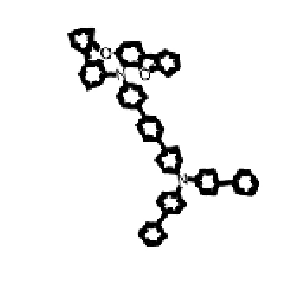 c1ccc(-c2ccc(N(c3ccc(-c4ccccc4)cc3)c3ccc(-c4ccc(-c5ccc(N(c6cccc7c6oc6ccccc67)c6cccc7c6oc6ccccc67)cc5)cc4)cc3)cc2)cc1